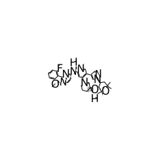 COc1cccc(F)c1-c1nccc(Nc2cc(N3CCC[C@H](O)C3)c(-c3cnn(C4CC(C)(C)OC(C)(C)C4)c3)cn2)n1